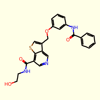 O=C(Nc1cccc(OCc2csc3c(C(=O)NCCO)cncc23)c1)c1ccccc1